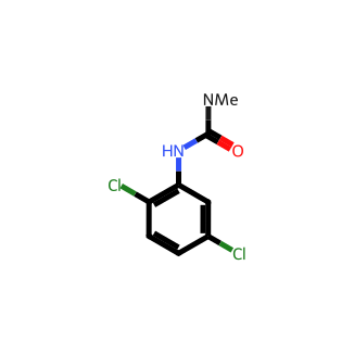 CNC(=O)Nc1cc(Cl)ccc1Cl